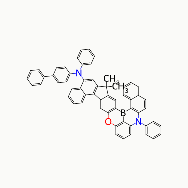 CC1(C)c2cc3c(cc2-c2c1cc(N(c1ccccc1)c1ccc(-c4ccccc4)cc1)c1ccccc21)Oc1cccc2c1B3c1c(ccc3ccccc13)N2c1ccccc1